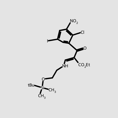 CCOC(=O)C(=CNCCO[Si](C)(C)C(C)(C)C)C(=O)c1cc(I)cc([N+](=O)[O-])c1Cl